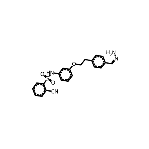 N#Cc1ccccc1S(=O)(=O)Nc1cccc(OCCc2ccc(/C=N\N)cc2)c1